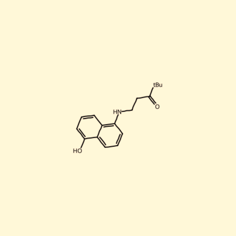 CC(C)(C)C(=O)CCNc1cccc2c(O)cccc12